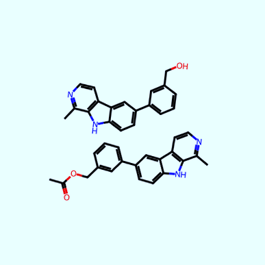 CC(=O)OCc1cccc(-c2ccc3[nH]c4c(C)nccc4c3c2)c1.Cc1nccc2c1[nH]c1ccc(-c3cccc(CO)c3)cc12